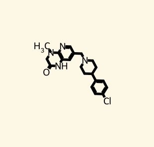 CN1CC(=O)Nc2cc(CN3CCC(c4ccc(Cl)cc4)CC3)cnc21